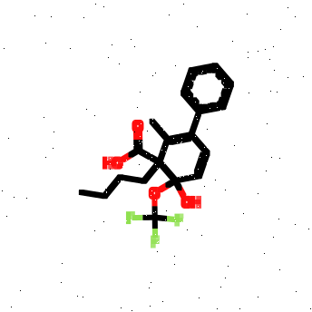 CCCCC1(C(=O)O)C(C)=C(c2ccccc2)C=CC1(O)OC(F)(F)F